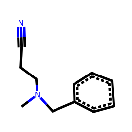 CN(CCC#N)Cc1ccccc1